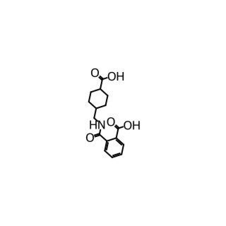 O=C(O)c1ccccc1C(=O)NCC1CCC(C(=O)O)CC1